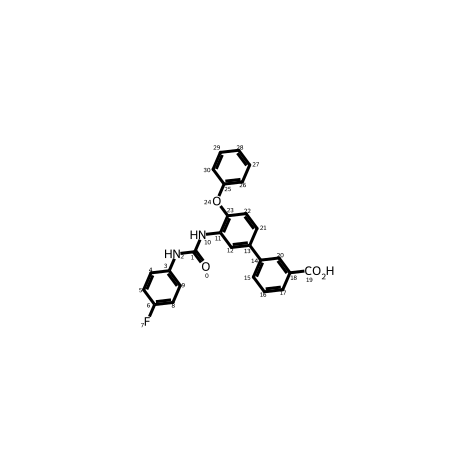 O=C(Nc1ccc(F)cc1)Nc1cc(-c2cccc(C(=O)O)c2)ccc1Oc1ccccc1